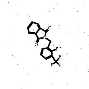 O=C1c2ccccc2C(=O)N1Cc1cccc(C(F)(F)F)c1F